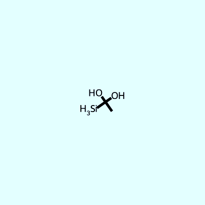 CC(O)(O)[SiH3]